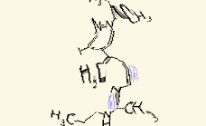 C=C(/C=C\N=C(/C)NCCC)c1cn(C(C)C)nc1I